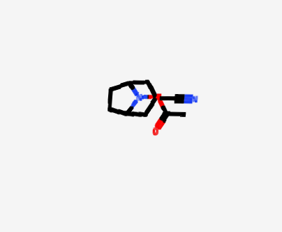 CC(=O)ON1C2CCC1CC(C#N)C2